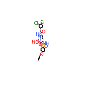 CC#CCOc1ccc(S(=O)(=O)N[C@H](CCCNC(=O)Cc2ccc(Cl)c(Cl)c2)C(=O)NO)cc1